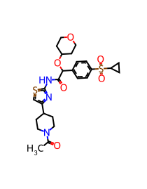 CC(=O)N1CCC(c2csc(NC(=O)C(OC3CCOCC3)c3ccc(S(=O)(=O)C4CC4)cc3)n2)CC1